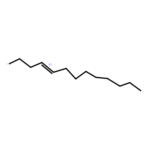 [CH2]CC/C=C/CCCCCCC[CH2]